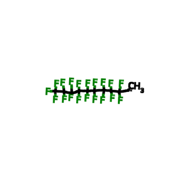 C[CH]C(F)(F)C(F)(F)C(F)(F)C(F)(F)C(F)(F)C(F)(F)C(F)(F)C(F)(F)C(F)(F)F